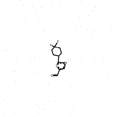 O=Cc1cnc(C2CCC(F)(F)CC2)s1